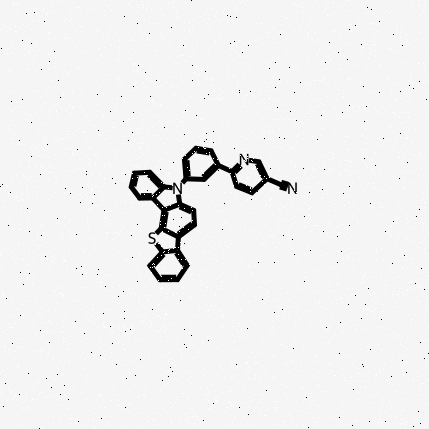 N#Cc1ccc(-c2cccc(-n3c4ccccc4c4c5sc6ccccc6c5ccc43)c2)nc1